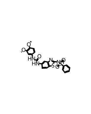 COc1ccc(NC(=O)Nc2ccc3sc(NS(=O)(=O)c4ccccc4)nc3c2)cc1OC